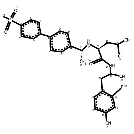 CS(=O)(=O)c1ccc(-c2ccc([C@H](N[C@@H](CC(Cl)Cl)C(=O)NC(C#N)Cc3ccc(C#N)cc3F)C(F)(F)F)cc2)cc1